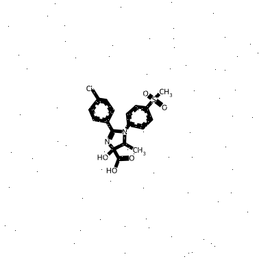 CC1N(c2ccc(S(C)(=O)=O)cc2)C(c2ccc(Cl)cc2)=NC1(O)C(=O)O